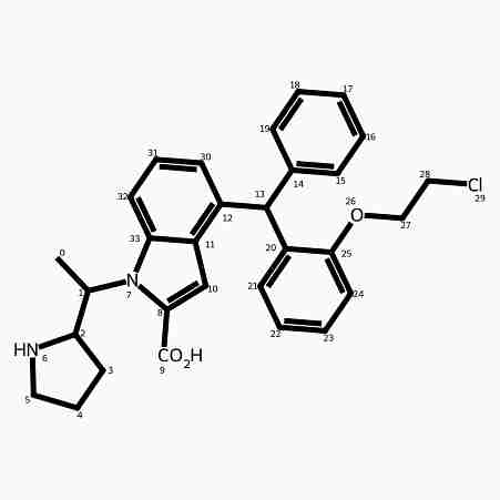 CC(C1CCCN1)n1c(C(=O)O)cc2c(C(c3ccccc3)c3ccccc3OCCCl)cccc21